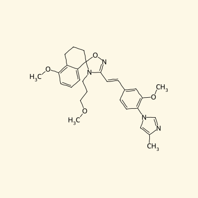 COCCCN1C(/C=C/c2ccc(-n3cnc(C)c3)c(OC)c2)=NOC12CCCc1c(OC)cccc12